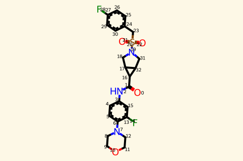 O=C(Nc1ccc(N2CCOCC2)c(F)c1)C1C2CN(S(=O)(=O)Cc3ccc(F)cc3)CC21